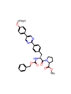 CCCCCCCOc1ccc(-c2cnc(-c3ccc(C[C@H](NC(=O)OCc4ccccc4)C(=O)N4CCCC4C(=O)OC(C)(C)C)cc3)nc2)cc1